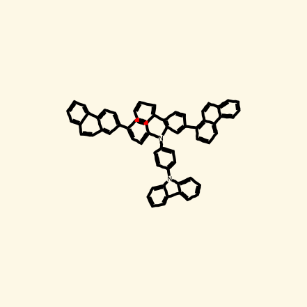 c1ccc(-c2ccc(-c3cccc4c3ccc3ccccc34)cc2N(c2ccc(-c3ccc4c(ccc5ccccc54)c3)cc2)c2ccc(-n3c4ccccc4c4ccccc43)cc2)cc1